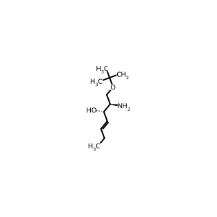 CC/C=C/[C@H](O)[C@H](N)COC(C)(C)C